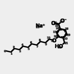 CCCCCCCCCCCOc1cc(C(=O)[O-])ccc1CO.[Na+]